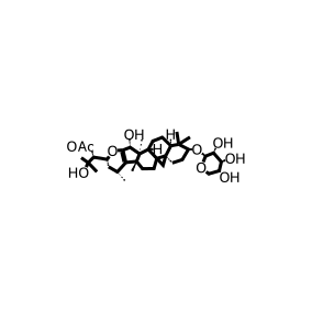 CC(=O)O[C@H]([C@H]1C[C@@H](C)C2=C(O1)[C@H](O)[C@@]1(C)[C@@H]3CC[C@H]4C(C)(C)[C@@H](O[C@@H]5OC[C@@H](O)[C@H](O)[C@H]5O)CC[C@@]45CC35CC[C@]21C)C(C)(C)O